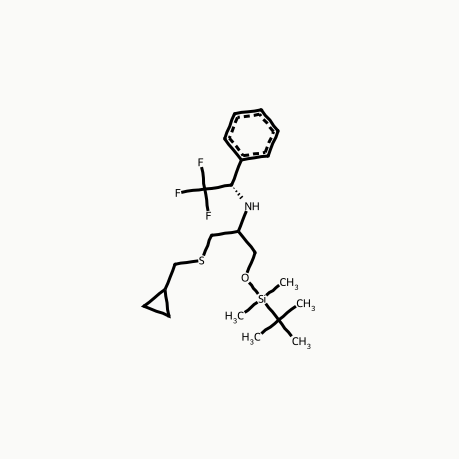 CC(C)(C)[Si](C)(C)OCC(CSCC1CC1)N[C@@H](c1ccccc1)C(F)(F)F